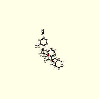 COc1c(Nc2ccc(C#N)cc2Cl)ncnc1OC1C2COCC1CN(C(=O)OC1CC1)C2